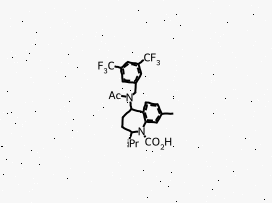 CC(=O)N(Cc1cc(C(F)(F)F)cc(C(F)(F)F)c1)C1CCC(C(C)C)N(C(=O)O)c2cc(C)ccc21